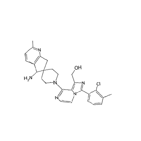 Cc1ccc2c(n1)CC1(CCN(c3nccn4c(-c5cccc(C)c5Cl)nc(CO)c34)CC1)C2N